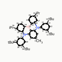 Cc1cc2c3c(c1)N(c1cc(C(C)(C)C)cc(C(C)(C)C)c1)c1cc(C(C)C)ccc1B3c1ccc(C(C)C)cc1N2c1cc(C(C)(C)C)cc(C(C)(C)C)c1